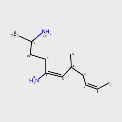 C/C=C\CC(C)/C=C(/N)CCC(N)CCC